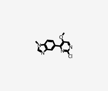 COc1cnc(Cl)nc1-c1ccc2c(c1)ncn2C